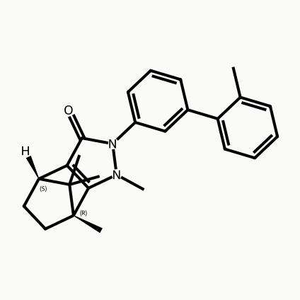 Cc1ccccc1-c1cccc(-n2c(=O)c3c(n2C)[C@]2(C)CC[C@H]3C2(C)C)c1